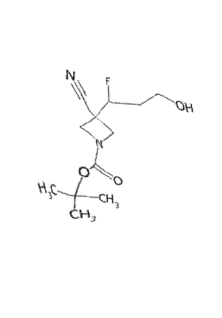 CC(C)(C)OC(=O)N1CC(C#N)(C(F)CCO)C1